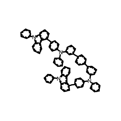 c1ccc(N(c2ccc(-c3cccc4c3c3ccccc3n4-c3ccccc3)cc2)c2cccc(-c3ccc(-c4cccc(N(c5ccccc5)c5ccc(-c6cccc7c6c6ccccc6n7-c6ccccc6)cc5)c4)cc3)c2)cc1